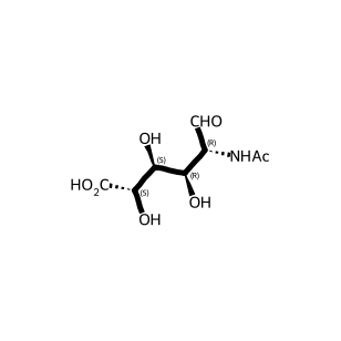 CC(=O)N[C@@H](C=O)[C@@H](O)[C@H](O)[C@H](O)C(=O)O